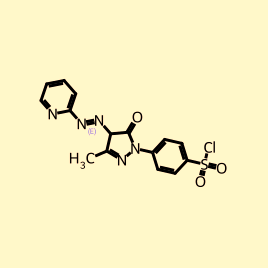 CC1=NN(c2ccc(S(=O)(=O)Cl)cc2)C(=O)C1/N=N/c1ccccn1